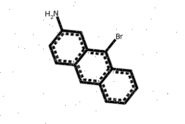 Nc1ccc2cc3ccccc3c(Br)c2c1